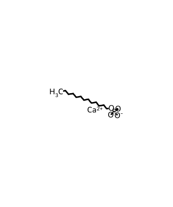 CCCCCCCCCCCCCOP(=O)([O-])[O-].[Ca+2]